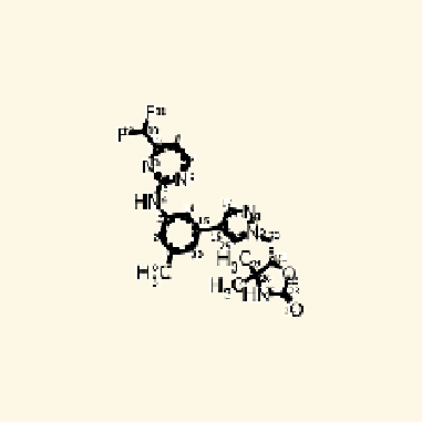 Cc1cc(Nc2nccc(C(F)F)n2)cc(-c2cnn(C[C@@H]3OC(=O)NC3(C)C)c2)c1